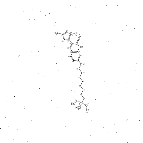 CCO[Si](C)(CCCCCCCCOc1ccc2cc(-c3sc(C)cc3CC)c(=O)oc2c1)OCC